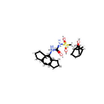 CC1(C)C2CC[C@@]1(CS(=O)(=O)NC(=O)Nc1c3c(cc4c1CCC4)CCC3)C(=O)C2